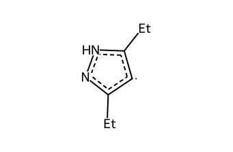 CCc1[c]c(CC)[nH]n1